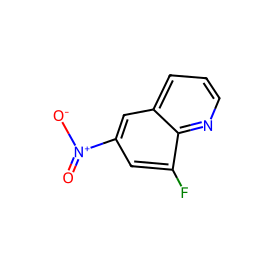 O=[N+]([O-])c1cc(F)c2ncccc2c1